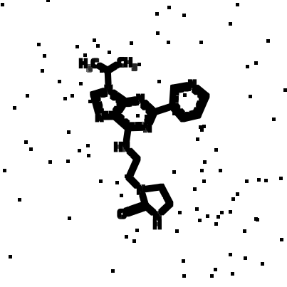 CC(C)n1cnc2c(NCCN3CCNC3=O)nc(-c3cccnc3)nc21